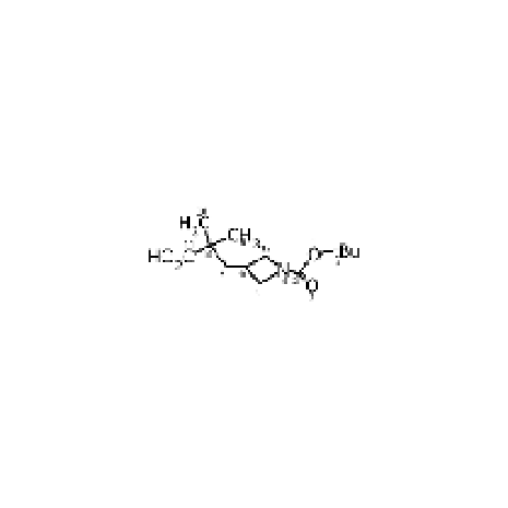 CC(C)(C)OC(=O)N1CC(CC(C)(C)C(=O)O)C1